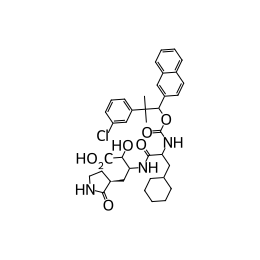 CC(C)(c1cccc(Cl)c1)C(OC(=O)NC(CC1CCCCC1)C(=O)NC(C[C@@H]1CCNC1=O)C(O)C(=O)O)c1ccc2ccccc2c1